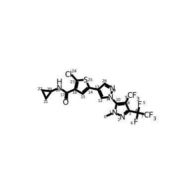 Cn1nc(C(F)(F)C(F)(F)F)c(C(F)(F)F)c1-n1cc(-c2cc(C(=O)NC3CC3)c(Cl)s2)cn1